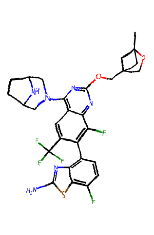 CC12CC(COc3nc(N4CC5CCC(C4)N5)c4cc(C(F)(F)F)c(-c5ccc(F)c6sc(N)nc56)c(F)c4n3)(CO1)C2